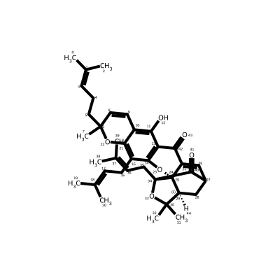 CC(C)=CCCC1(C)C=Cc2c(O)c3c(c(CC=C(C)C)c2O1)O[C@]12C(=CC4C[C@H]1C(C)(C)OC2(CC=C(C)C)C4=O)C3=O